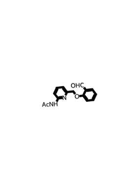 CC(=O)Nc1cccc(COc2ccccc2C=O)n1